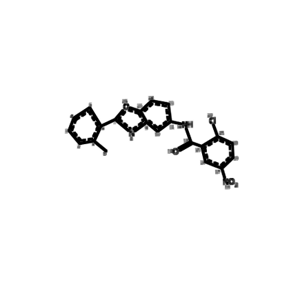 Cc1ccccc1-c1nc2cc(NC(=O)c3cc([N+](=O)[O-])ccc3Cl)ccc2o1